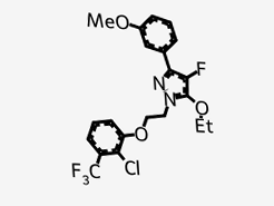 CCOc1c(F)c(-c2cccc(OC)c2)nn1CCOc1cccc(C(F)(F)F)c1Cl